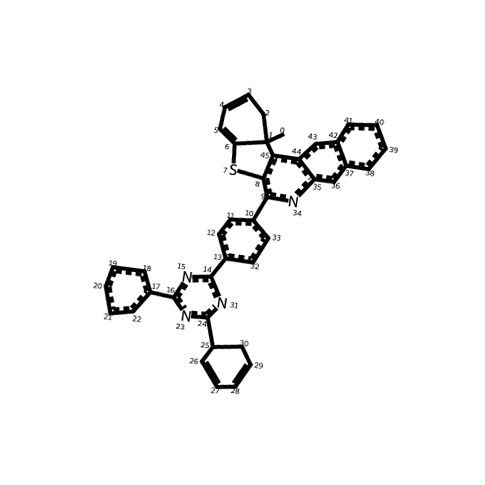 CC12CC=CC=C1Sc1c(-c3ccc(-c4nc(-c5ccccc5)nc(C5C=CC=CC5)n4)cc3)nc3cc4ccccc4cc3c12